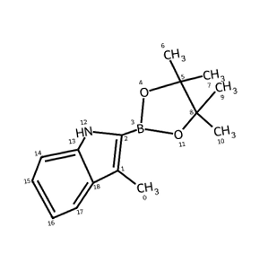 Cc1c(B2OC(C)(C)C(C)(C)O2)[nH]c2ccccc12